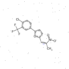 C/C(=C/c1ccc(-c2ccc(Cl)c(C(F)(F)F)c2)o1)[N+](=O)[O-]